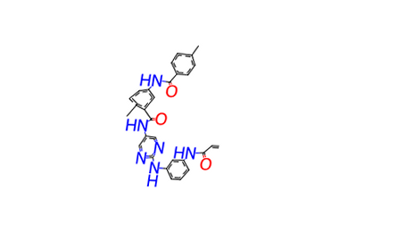 C=CC(=O)Nc1cccc(Nc2ncc(NC(=O)c3cc(NC(=O)c4ccc(C)cc4)ccc3C)cn2)c1